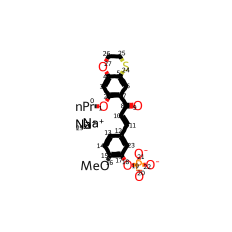 CCCOc1cc2c(cc1C(=O)/C=C/c1ccc(OC)c(OP(=O)([O-])[O-])c1)SCCO2.[Na+].[Na+]